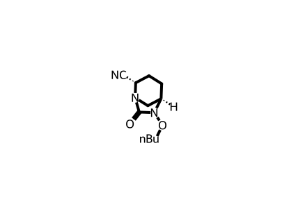 CCCCON1C(=O)N2C[C@H]1CC[C@H]2C#N